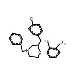 FC(F)(F)c1ccccc1S[C@@H](c1ccc(Cl)cc1)[C@@H]1CN(Cc2ccccc2)CCO1